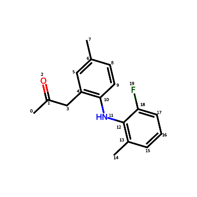 CC(=O)Cc1cc(C)ccc1Nc1c(C)cccc1F